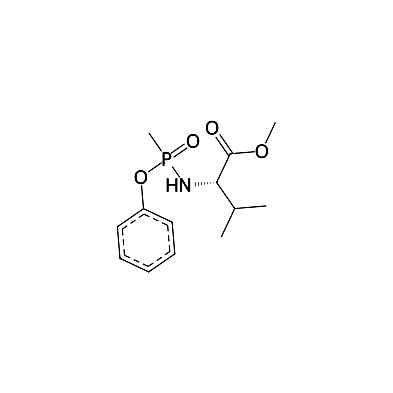 COC(=O)[C@@H](NP(C)(=O)Oc1ccccc1)C(C)C